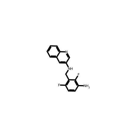 Nc1ccc(F)c(CNc2cnc3ccccc3c2)c1F